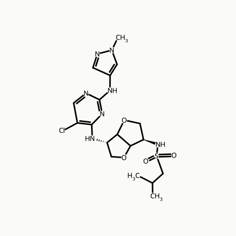 CC(C)CS(=O)(=O)N[C@@H]1COC2C1OC[C@@H]2Nc1nc(Nc2cnn(C)c2)ncc1Cl